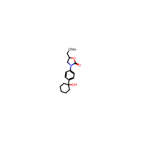 COCC1CN(c2ccc(C3(O)CCCCC3)cc2)C(=O)O1